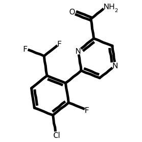 NC(=O)c1cncc(-c2c(C(F)F)ccc(Cl)c2F)n1